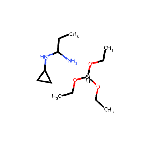 CCC(N)NC1CC1.CCO[SiH](OCC)OCC